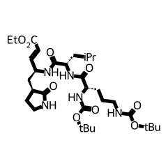 CCOC(=O)/C=C/[C@H](C[C@@H]1CCNC1=O)NC(=O)[C@H](CC(C)C)NC(=O)[C@H](CCCNC(=O)OC(C)(C)C)NC(=O)OC(C)(C)C